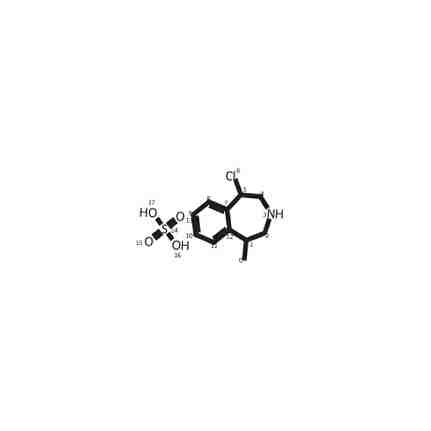 CC1CNCC(Cl)c2ccccc21.O=S(=O)(O)O